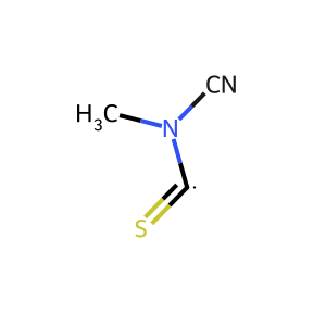 CN([C]=S)C#N